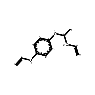 C=COc1ccc(OC(C)OC=C)cc1